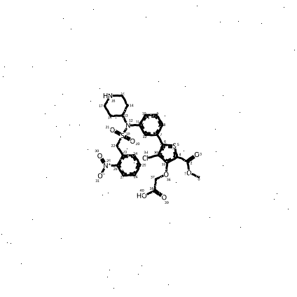 COC(=O)c1sc(-c2cccc(N(C3CCNCC3)S(=O)(=O)Cc3ccccc3[N+](=O)[O-])c2)c(Cl)c1OCC(=O)O